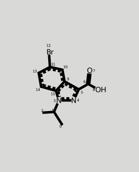 CC(C)n1nc(C(=O)O)c2cc(Br)ccc21